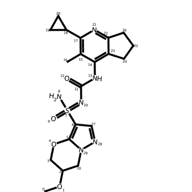 COC1COc2c(S(N)(=O)=NC(=O)Nc3c(C)c(C4CC4)nc4c3CCC4)cnn2C1